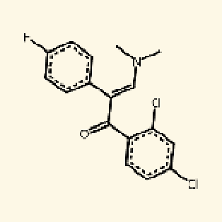 CN(C)C=C(C(=O)c1ccc(Cl)cc1Cl)c1ccc(F)cc1